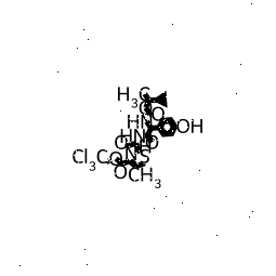 CC1=C(C(=O)OCC(Cl)(Cl)Cl)N2C(=O)C(NC(=O)C(NC(=O)OC(C)C3CC3)c3ccc(O)cc3)[C@@H]2SC1